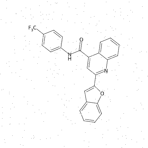 O=C(Nc1ccc(C(F)(F)F)cc1)c1cc(-c2cc3ccccc3o2)nc2ccccc12